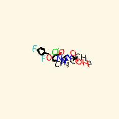 Cc1cc(OCc2ccc(F)cc2F)c(Cl)c(=O)n1-c1cn(C(=O)C(C)(C)O)cn1